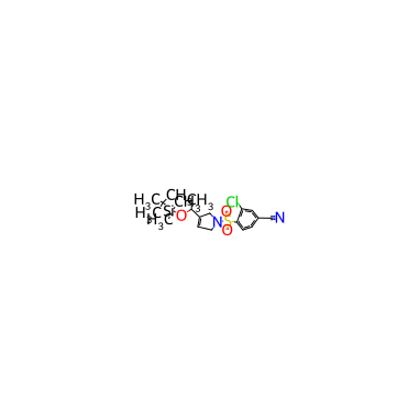 CC(O[Si](C)(C)C(C)(C)C)C1=CCN(S(=O)(=O)c2ccc(C#N)cc2Cl)C1